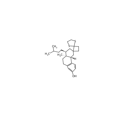 CC(C)CC[C@H]1CC2(CCC23SCCS3)C[C@@H]2c3ccc(O)cc3CC[C@@]12C